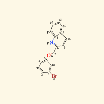 Brc1cccc(OCc2ccc3ccccc3n2)c1